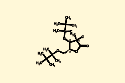 CC(C)(C)[Si](C)(C)OC[C@H]1OC(=O)[C@@](F)(Cl)[C@@H]1O[Si](C)(C)C(C)(C)C